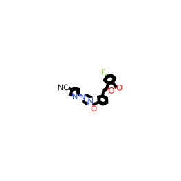 N#Cc1ccc(N2CCN(C(=O)c3cccc(C=C4OC(=O)c5ccc(F)cc54)c3)CC2)nc1